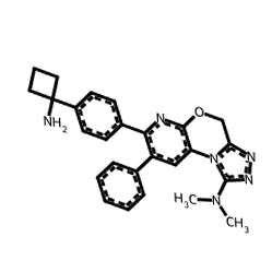 CN(C)c1nnc2n1-c1cc(-c3ccccc3)c(-c3ccc(C4(N)CCC4)cc3)nc1OC2